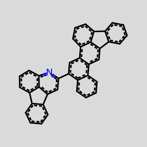 c1ccc2c(c1)-c1cccc3nc(-c4cc5c6cccc7c6c(cc5c5ccccc45)-c4ccccc4-7)cc-2c13